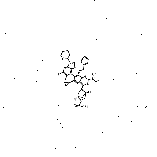 CC[S+]([O-])c1nc(N2C[C@@H]3C[C@H]2CN3C(=O)O)c2cc(C3CC3)c(-c3c(C)c(F)cc4c3cnn4C3CCCCO3)c(OCc3ccccc3)c2n1